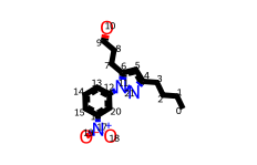 CCCCc1cc(CCC=O)n(-c2cccc([N+](=O)[O-])c2)n1